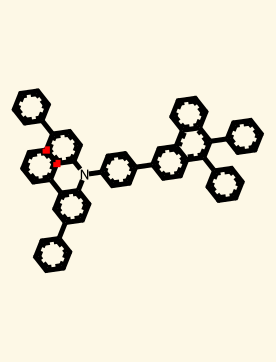 c1ccc(-c2ccc(N(c3ccc(-c4ccc5c(-c6ccccc6)c(-c6ccccc6)c6ccccc6c5c4)cc3)c3ccc(-c4ccccc4)cc3-c3ccccc3)cc2)cc1